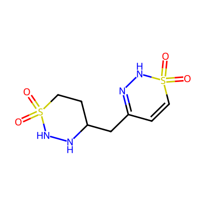 O=S1(=O)C=CC(CC2CCS(=O)(=O)NN2)=NN1